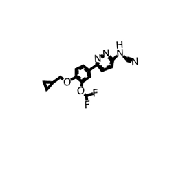 N#CNc1ccc(-c2ccc(OCC3CC3)c(OC(F)F)c2)nn1